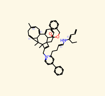 C=C/C=C(\CC)N/C=C/CCc1cc(-c2ccccc2)cc[n+]1CC1=CC2(CC(=O)OCc3ccccc3)C3CC=CC=C3/C3=C/C=C(/C)C/C=C4\C3C4(C)C12C